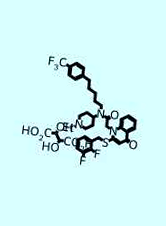 CCN1CCC(N(CCCCCc2ccc(C(F)(F)F)cc2)C(=O)Cn2c(SCc3cccc(F)c3F)cc(=O)c3ccccc32)CC1.O=C(O)C(O)C(O)C(=O)O